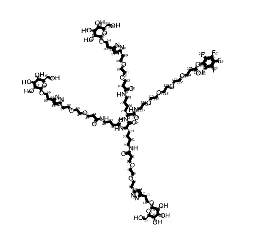 O=C(CCOCCOCCn1cc(CCO[C@@H]2O[C@H](CO)[C@H](O)[C@H](O)[C@H]2O)nn1)NCCCC[C@H](NC(=O)CCCNC(=O)CCOCCOCCn1cc(CCO[C@@H]2O[C@H](CO)[C@H](O)[C@H](O)[C@H]2O)nn1)C(=O)N[C@@H](CCCCNC(=O)CCOCCOCCn1cc(CCO[C@@H]2O[C@H](CO)[C@H](O)[C@H](O)[C@H]2O)nn1)C(=O)NCCOCCOCCOCCOCCC(=O)Oc1c(F)c(F)c(F)c(F)c1F